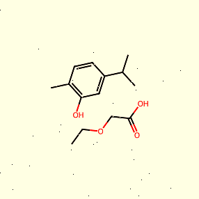 CCOCC(=O)O.Cc1ccc(C(C)C)cc1O